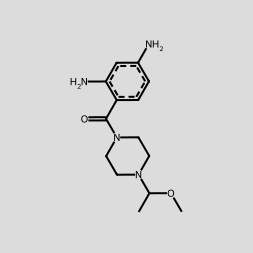 COC(C)N1CCN(C(=O)c2ccc(N)cc2N)CC1